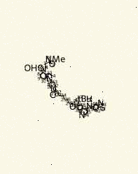 CNC(=O)CCN(C=O)c1cccc2c1ccn2C1CCN(C(=O)CCCCCCCOc2cc3nccc(Nc4ccc5scnc5c4)c3cc2SC(C)(C)C)CC1